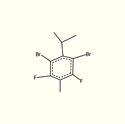 Cc1c(F)c(Br)c(C(C)C)c(Br)c1F